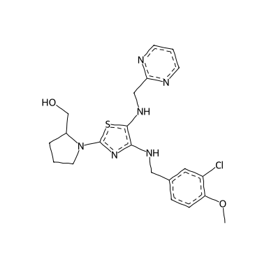 COc1ccc(CNc2nc(N3CCCC3CO)sc2NCc2ncccn2)cc1Cl